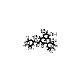 CCCCC(c1cc(C(C)(C)C)c(O)c(C(C)(C)C)c1)C(C(=O)OC1CC(C)(C)N(C)C(C)(C)C1)C(=O)OC1CC(C)(C)N(C)C(C)(C)C1